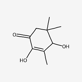 CC1=C(O)C(=O)CC(C)(C)C1O